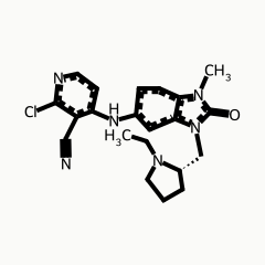 CCN1CCC[C@H]1Cn1c(=O)n(C)c2ccc(Nc3ccnc(Cl)c3C#N)cc21